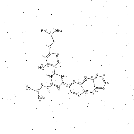 CCCCC(CC)COc1ccc(-c2nc(OCC(CC)CCCC)nc(-c3ccc4cc5ccccc5cc4c3)n2)c(O)c1